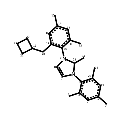 Cc1cc(C)c(N2C=CN(c3c(C)cc(C)cc3CC3CCC3)C2C)c(C)c1